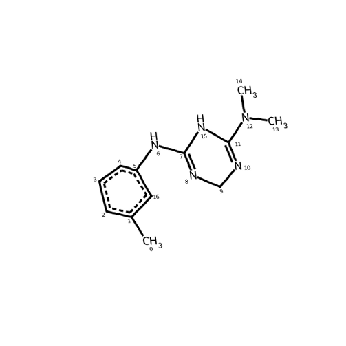 Cc1cccc(NC2=NCN=C(N(C)C)N2)c1